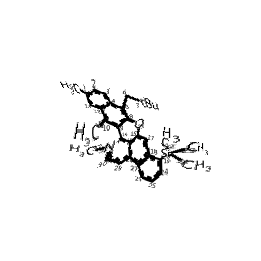 Cc1ccc2c(CC(C)(C)C)c3c(c(C)c2c1)-c1c2c(cc4c([Si](C)(C)C)cccc4c2cc[n+]1C)O3